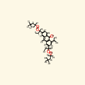 CCC(C)(OOC(C)(C)CC(C)(C)C)c1ccc(C(=O)c2c(C(C)C)cc(C(C)(CC)OOC(C)(C)CC(C)(C)C)cc2C(C)C)cc1